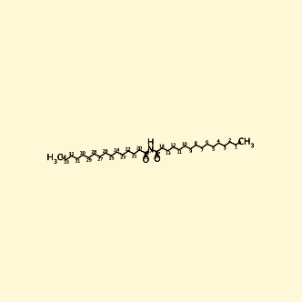 CCCCCCCCCCCCCCCC(=O)NC(=O)CCCCCCCCCCCCCCC